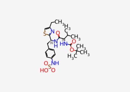 CCc1csc([C@H](Cc2ccc(NS(=O)(=O)O)cc2)NC(=O)[C@@H](NC(=O)OC(C)(C)C)C(C)C)n1